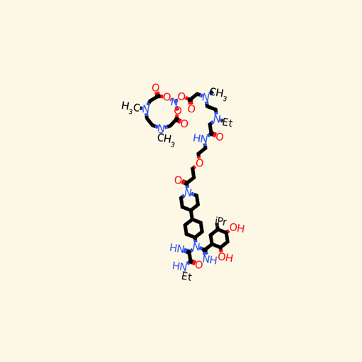 CCNC(=O)C(=N)N(C(=N)C1CC(C(C)C)C(O)CC1O)C1CCC(C2CCN(C(=O)CCOCCNC(=O)CN(CC)CCN(C)CC(=O)ON3OC(=O)CN(C)CCN(C)CC(=O)O3)CC2)CC1